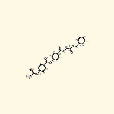 N=C(N)Nc1ccc(C(=O)Oc2ccc(C(=O)OCC(=O)NCc3ccccc3)cc2)cc1